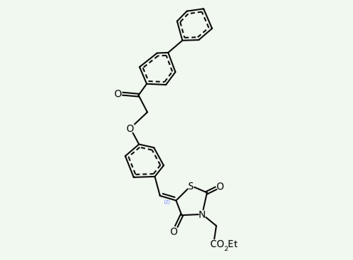 CCOC(=O)CN1C(=O)S/C(=C\c2ccc(OCC(=O)c3ccc(-c4ccccc4)cc3)cc2)C1=O